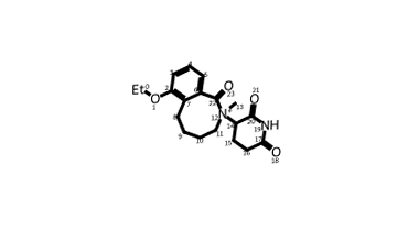 CCOc1cccc2c1CCCC[N+](C)(C1CCC(=O)NC1=O)C2=O